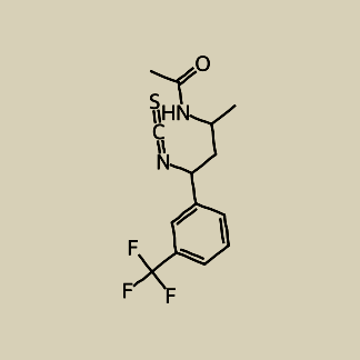 CC(=O)NC(C)CC(N=C=S)c1cccc(C(F)(F)F)c1